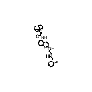 O=C(CC12CC3CC(CC(C3)C1)C2)Nc1cccc2nc(NCCNCc3ccccc3F)ccc12